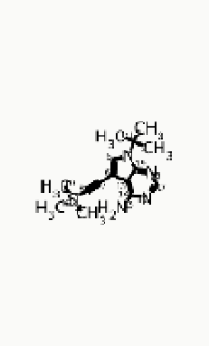 CC(C)(C)n1cc(C#C[Si](C)(C)C)c2c(N)ncnc21